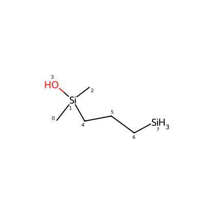 C[Si](C)(O)CCC[SiH3]